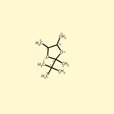 CC1OC(C)(C(C)(C)C)OC1C